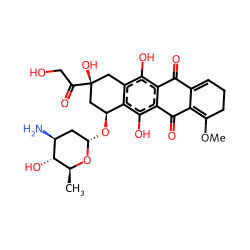 COC1=C2C(=O)c3c(O)c4c(c(O)c3C(=O)C2=CCC1)C[C@@](O)(C(=O)CO)C[C@@H]4O[C@H]1C[C@H](N)[C@@H](O)[C@H](C)O1